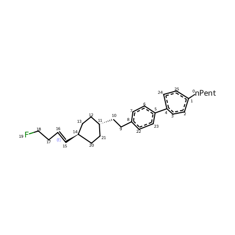 CCCCCc1ccc(-c2ccc(CC[C@H]3CC[C@H](/C=C/CCF)CC3)cc2)cc1